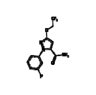 NC(=O)c1cc(OCC(F)(F)F)nn1-c1cccc(F)c1